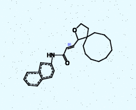 O=C(/C=C/C1OCCC12CCCCCCCCC2)Nc1ccc2ccccc2c1